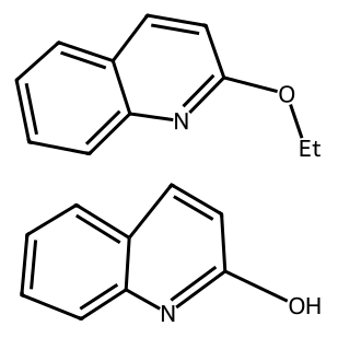 CCOc1ccc2ccccc2n1.Oc1ccc2ccccc2n1